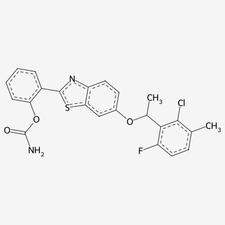 Cc1ccc(F)c(C(C)Oc2ccc3nc(-c4ccccc4OC(N)=O)sc3c2)c1Cl